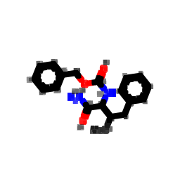 COC(Cc1ccccc1)C(NC(=O)OCc1ccccc1)C(N)=O